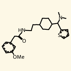 COc1cccc(CC(=O)NCCC2CCC(C(c3cccs3)N(C)C)CC2)c1